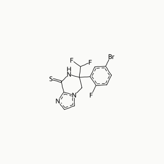 Fc1ccc(Br)cc1C1(C(F)F)Cn2ccnc2C(=S)N1